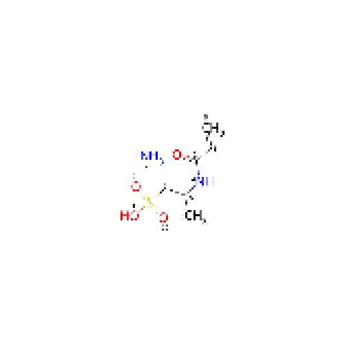 C=CC(=O)NC(C)CS(=O)(=O)O.N